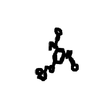 O=C=Nc1cc(N=C=O)cc(OCc2ccco2)c1